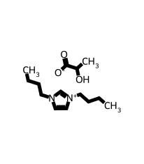 CC(O)C(=O)[O-].CCCCn1cc[n+](CCCC)c1